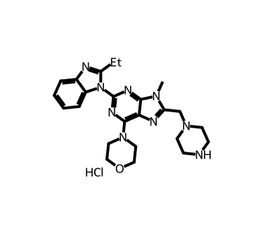 CCc1nc2ccccc2n1-c1nc(N2CCOCC2)c2nc(CN3CCNCC3)n(C)c2n1.Cl